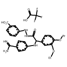 CCOc1cc(C(Nc2ccc(C(=N)N)cc2)C(=O)NNc2cccc(C(=O)O)c2)ccc1OC(C)C.O=C(O)C(F)(F)F